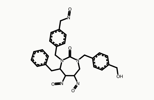 O=NCc1ccc(CN2C(=O)N(Cc3ccc(CO)cc3)CC(N=O)C(N=O)C2Cc2ccccc2)cc1